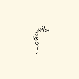 CCCCCCc1ccc(-c2cnc(-c3ccc(CN4CC(C(=O)O)C4)cc3)s2)cc1